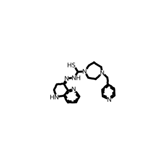 SC(N/N=C1/CCNc2cccnc21)N1CCCN(Cc2ccncc2)CC1